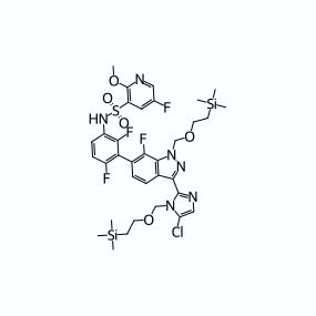 COc1ncc(F)cc1S(=O)(=O)Nc1ccc(F)c(-c2ccc3c(-c4ncc(Cl)n4COCC[Si](C)(C)C)nn(COCC[Si](C)(C)C)c3c2F)c1F